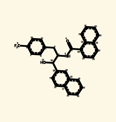 O=C(NC(Cc1ccc(C(F)(F)F)cc1)C(O)c1ccc2ccccc2c1)c1cccc2ccccc12